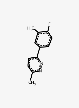 Cc1ccc(-c2ccc(F)c(C)c2)nn1